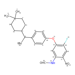 CC1(C)CCC([C](c2ccc(Oc3cc(NC=O)c([N+](=O)[O-])cc3F)cc2)C(C)(C)C)CC1